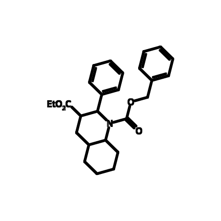 CCOC(=O)C1CC2CCCCC2N(C(=O)OCc2ccccc2)C1c1ccccc1